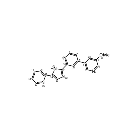 COc1cncc(-c2ccnc(-c3ncc(-c4ccccn4)[nH]3)c2)c1